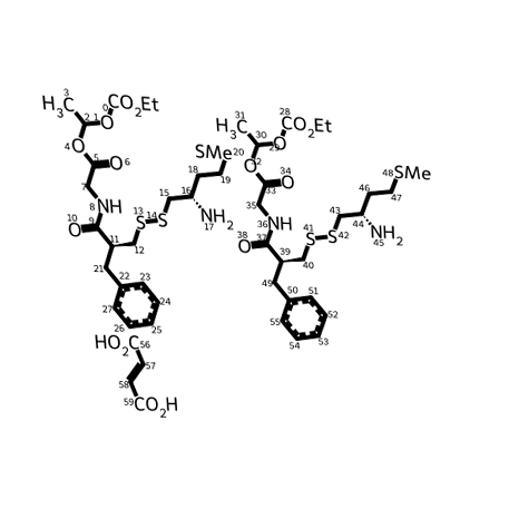 CCOC(=O)OC(C)OC(=O)CNC(=O)[C@@H](CSSC[C@@H](N)CCSC)Cc1ccccc1.CCOC(=O)OC(C)OC(=O)CNC(=O)[C@@H](CSSC[C@@H](N)CCSC)Cc1ccccc1.O=C(O)/C=C/C(=O)O